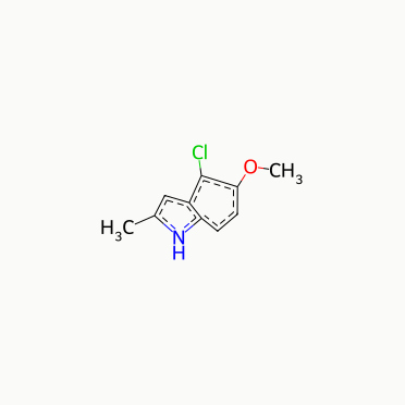 COc1ccc2[nH]c(C)cc2c1Cl